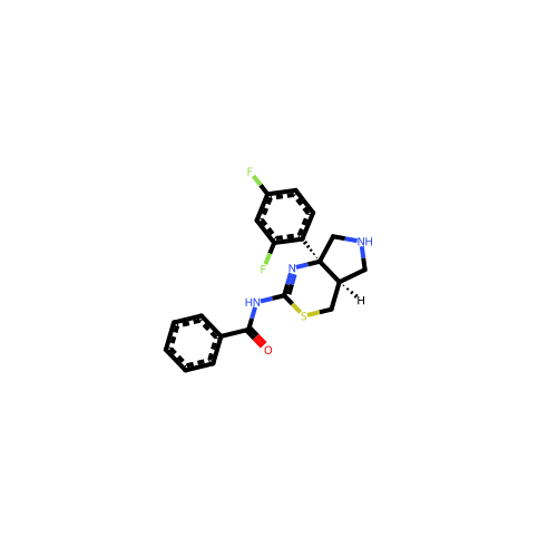 O=C(NC1=N[C@@]2(c3ccc(F)cc3F)CNC[C@H]2CS1)c1ccccc1